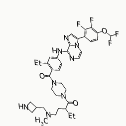 CCc1cc(Nc2nccn3c(-c4ccc(OC(F)F)c(F)c4F)cnc23)ccc1C(=O)N1CCN(C(=O)C(CC)CCN(C)CC2CNC2)CC1